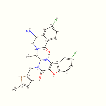 CC(C)C(c1nc2c(oc3ccc(F)cc32)c(=O)n1Cc1ccc(C#N)s1)N(CCN)C(=O)c1ccc(Cl)cc1